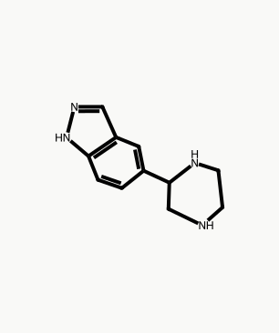 c1cc2[nH]ncc2cc1C1CNCCN1